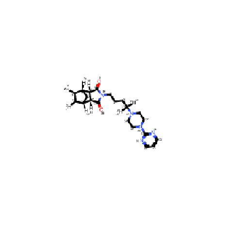 [2H]C1C([2H])[C@@H]2C[C@H]1[C@@H]1C(=O)N(CCCC([2H])([2H])N3CCN(c4ncccn4)CC3)C(=O)[C@@H]12